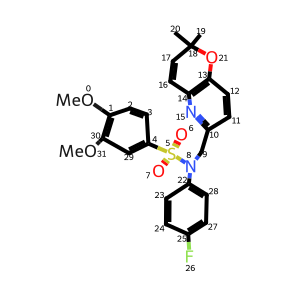 COc1ccc(S(=O)(=O)N(Cc2ccc3c(n2)C=CC(C)(C)O3)c2ccc(F)cc2)cc1OC